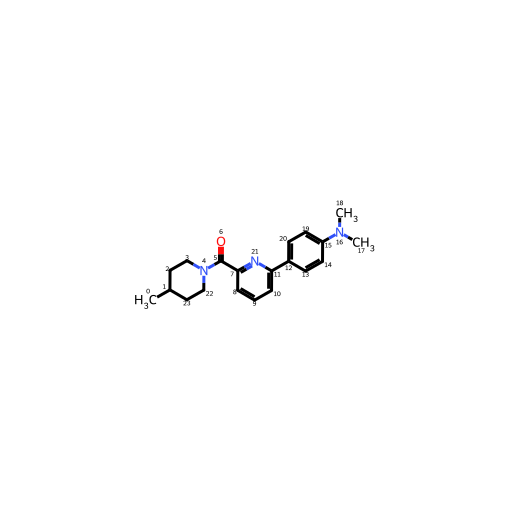 CC1CCN(C(=O)c2cccc(-c3ccc(N(C)C)cc3)n2)CC1